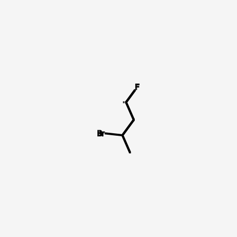 CC(Br)C[CH]F